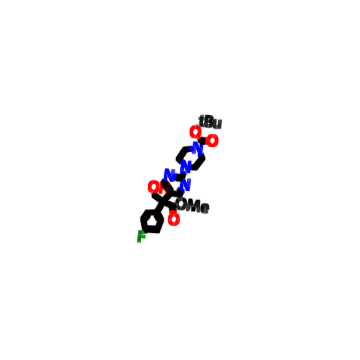 COC(=O)C(CO)(c1ccc(F)cc1)c1cnc(N2CCN(C(=O)OC(C)(C)C)CC2)nc1